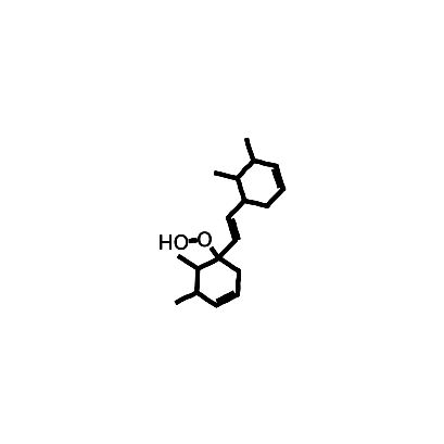 CC1C=CCC(/C=C/C2(OO)CC=CC(C)C2C)C1C